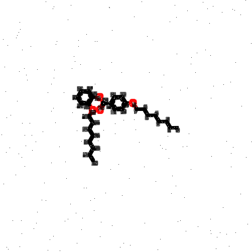 CCCCCCCCOc1ccc(C(=O)Oc2ccccc2OCCCCCCCC)cc1